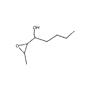 CCCCC(O)C1OC1C